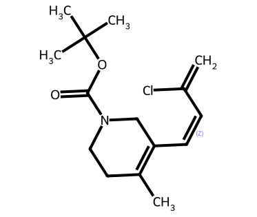 C=C(Cl)/C=C\C1=C(C)CCN(C(=O)OC(C)(C)C)C1